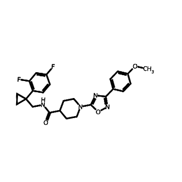 COc1ccc(-c2noc(N3CCC(C(=O)NCC4(c5ccc(F)cc5F)CC4)CC3)n2)cc1